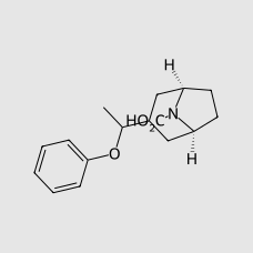 CC(Oc1ccccc1)C1C[C@H]2CC[C@@H](C1)N2C(=O)O